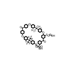 COc1ccc(C(c2ccc(Oc3ccc(C(=O)c4ccc(Oc5ccc(C(C)(C)c6ccc(Oc7ccc(C(=O)c8cccc(S(=O)(=O)O)c8)cc7SOOO)cc6)cc5)cc4)cc3)cc2)(C(F)(F)F)C(F)(F)F)cc1